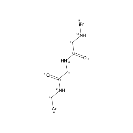 CC(=O)CNC(=O)CNC(=O)CNC(C)C